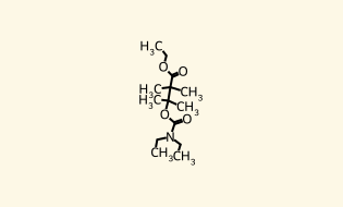 CCOC(=O)C(C)(C)C(C)(C)OC(=O)N(CC)CC